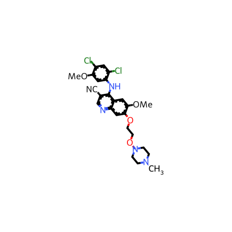 COc1cc(Nc2c(C#N)cnc3cc(OCCON4CCN(C)CC4)c(OC)cc23)c(Cl)cc1Cl